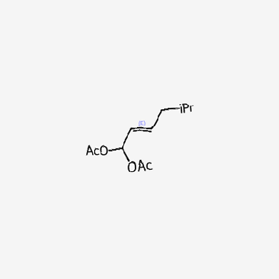 CC(=O)OC(/C=C/CC(C)C)OC(C)=O